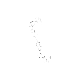 N#CC(C#N)=C1C=COC(c2ccc3cc(/C=C/c4ccc5cc(C6=CC(=C(C#N)C#N)C=CO6)ccc5c4)ccc3c2)=C1